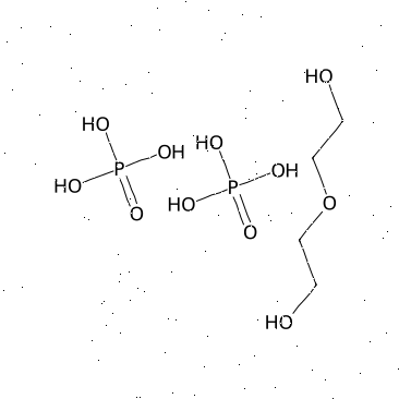 O=P(O)(O)O.O=P(O)(O)O.OCCOCCO